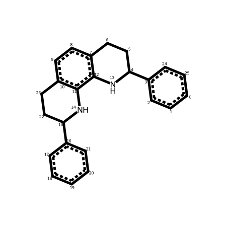 c1ccc(C2CCc3ccc4c(c3N2)NC(c2ccccc2)CC4)cc1